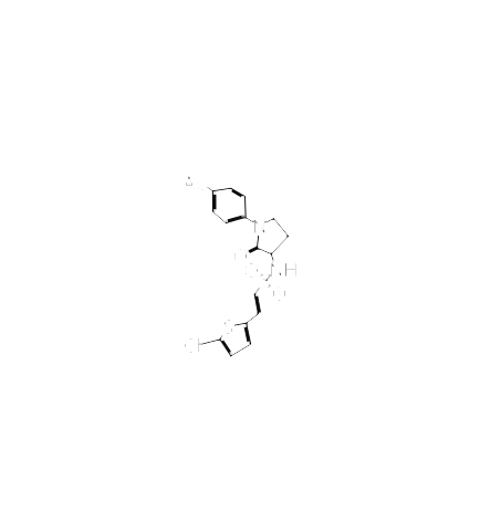 CC(=O)c1ccc(N2CCC(NS(=O)(=O)/C=C/c3ccc(Cl)s3)C2=O)cc1